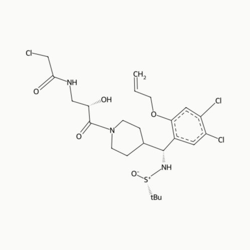 C=CCOc1cc(Cl)c(Cl)cc1[C@H](N[S@@+]([O-])C(C)(C)C)C1CCN(C(=O)[C@@H](O)CNC(=O)CCl)CC1